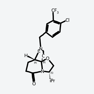 CC(C)[C@H]1CO[C@]23CCN(Cc4ccc(Cl)c(C(F)(F)F)c4)C[C@H]2CCC(=O)N13